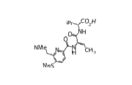 C/C=C(\NC(=O)c1ccc(SC)c(CNC)n1)C(=O)N[C@H](C(=O)O)C(C)C